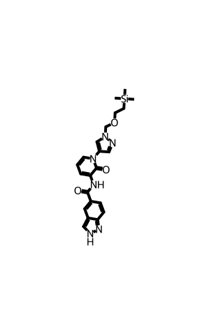 C[Si](C)(C)CCOCn1cc(-n2cccc(NC(=O)c3ccc4n[nH]cc4c3)c2=O)cn1